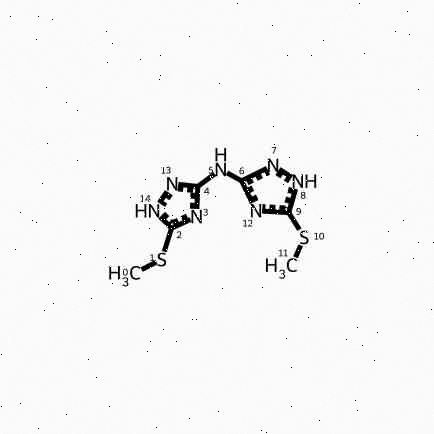 CSc1nc(Nc2n[nH]c(SC)n2)n[nH]1